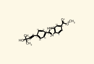 COC(=O)c1ccc2nc(-c3ccc(C#CC(C)(C)O)cc3)[nH]c2c1